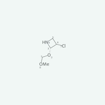 COCO[C@@H]1NCC1Cl